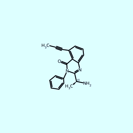 CC#Cc1cccc2nc([C@H](C)N)n(-c3ccccc3)c(=O)c12